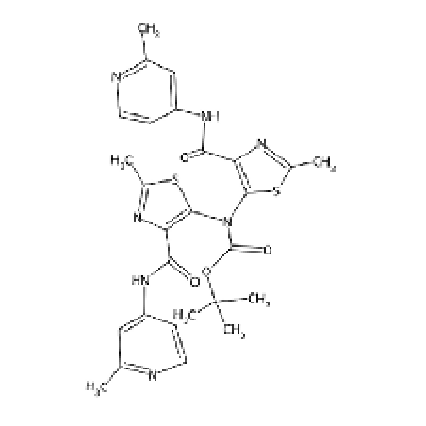 Cc1cc(NC(=O)c2nc(C)sc2N(C(=O)OC(C)(C)C)c2sc(C)nc2C(=O)Nc2ccnc(C)c2)ccn1